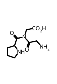 NCC(=O)N(CC(=O)O)C(=O)C1CCCN1